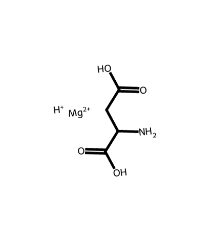 NC(CC(=O)O)C(=O)O.[H+].[Mg+2]